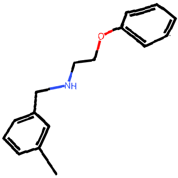 Cc1cccc(CNCCOc2c[c]ccc2)c1